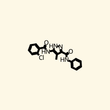 Cc1c(C(=O)Nc2ccccc2)n[nH]c1NC(=O)c1ccccc1Cl